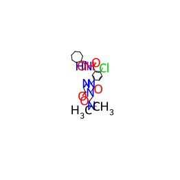 CN(C)C(=O)Cn1c(=O)cnn(-c2ccc(Cl)c(C(=O)NCC3(O)CCCCCC3)c2)c1=O